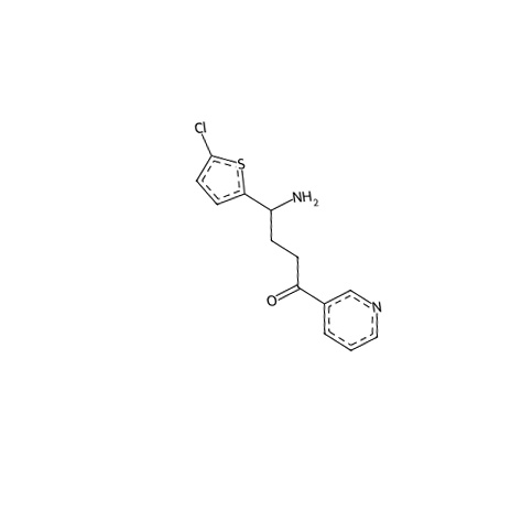 NC(CCC(=O)c1cccnc1)c1ccc(Cl)s1